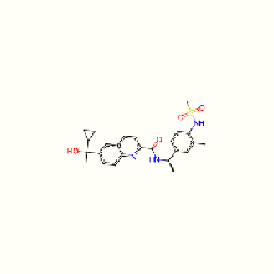 Cc1cc([C@@H](C)NC(=O)c2ccc3cc(C(C)(O)C4CC4)ccc3n2)ccc1NS(C)(=O)=O